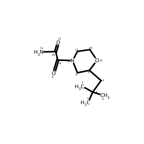 CC(C)(C)CC1CN(C(=O)C(N)=O)CCO1